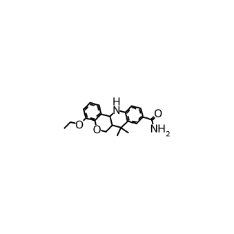 CCOc1cccc2c1OCC1C2Nc2ccc(C(N)=O)cc2C1(C)C